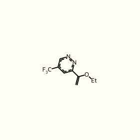 C=C(OCC)c1cc(C(F)(F)F)cnn1